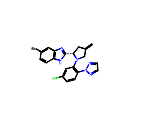 C=C1C[C@@H](c2nc3cc(C(C)(C)C)ccc3[nH]2)N(c2cc(Cl)c[c]c2-n2nccn2)C1